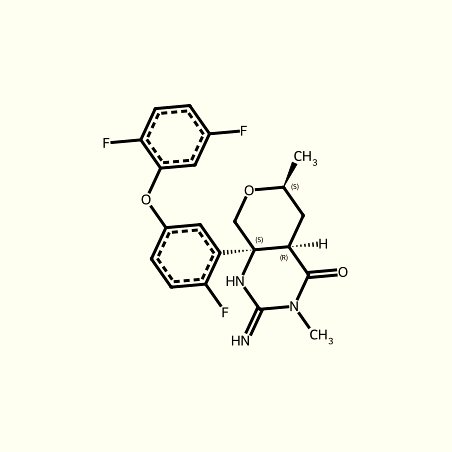 C[C@H]1C[C@H]2C(=O)N(C)C(=N)N[C@@]2(c2cc(Oc3cc(F)ccc3F)ccc2F)CO1